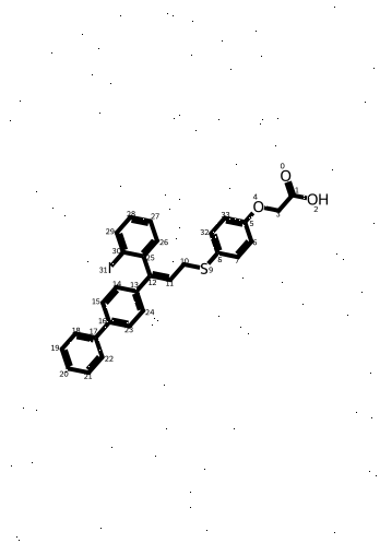 O=C(O)COc1ccc(SCC=C(c2ccc(-c3ccccc3)cc2)c2ccccc2I)cc1